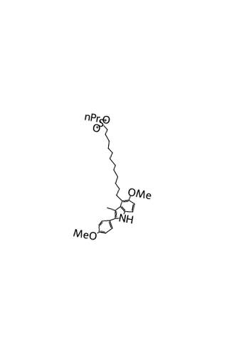 CCCS(=O)(=O)CCCCCCCCCCCCc1c(OC)ccc2[nH]c(-c3ccc(OC)cc3)c(C)c12